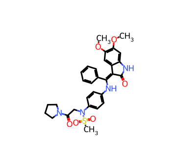 COc1cc2c(cc1OC)/C(=C(/Nc1ccc(N(CC(=O)N3CCCC3)S(C)(=O)=O)cc1)c1ccccc1)C(=O)N2